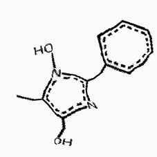 Cc1c(O)nc(-c2ccccc2)n1O